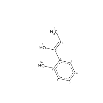 C/C=C(\O)c1ccccc1O